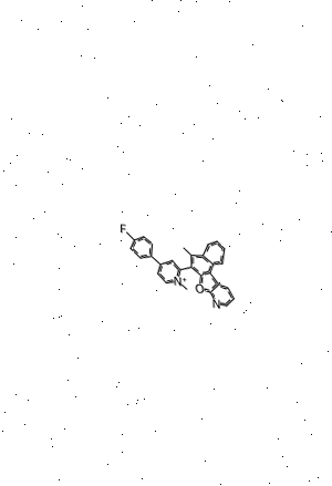 Cc1c(-c2cc(-c3ccc(F)cc3)cc[n+]2C)c2oc3ncccc3c2c2ccccc12